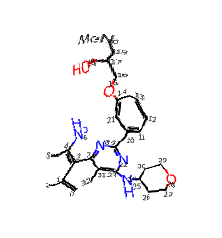 C=C(C)/C(=C(\C)N)c1nc(-c2cccc(OCC(O)CNC)c2)nc(NC2CCOCC2)c1C